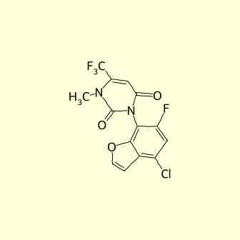 Cn1c(C(F)(F)F)cc(=O)n(-c2c(F)cc(Cl)c3ccoc23)c1=O